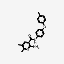 Cc1ccc(Oc2ccc(NC(=O)c3cc(C)c(C)nc3N)cc2)cc1